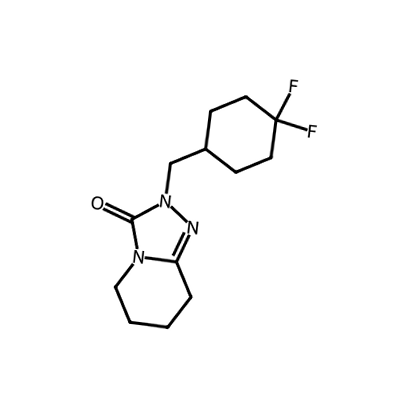 O=c1n(CC2CCC(F)(F)CC2)nc2n1CCCC2